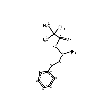 CC(C)(C)C(=O)ON(N)CCc1ccccc1